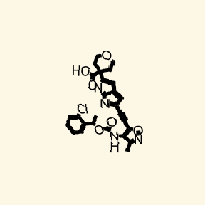 Cc1noc(C#CC2=NC3=NC(C4(C(=O)O)CCOCC4)=CC3=C2)c1NC(=O)OC(C)c1ccccc1Cl